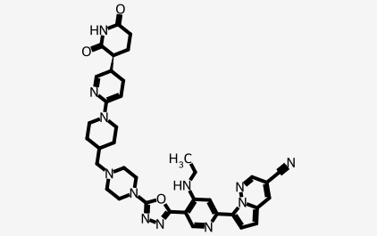 CCNc1cc(-c2ccc3cc(C#N)cnn23)ncc1-c1nnc(N2CCN(CC3CCN(C4=CCC([C@@H]5CCC(=O)NC5=O)C=N4)CC3)CC2)o1